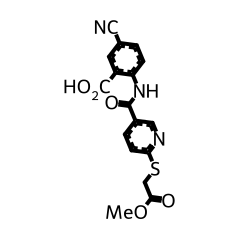 COC(=O)CSc1ccc(C(=O)Nc2ccc(C#N)cc2C(=O)O)cn1